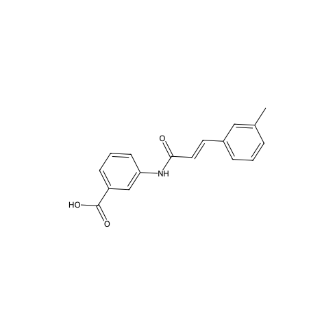 Cc1cccc(/C=C/C(=O)Nc2cccc(C(=O)O)c2)c1